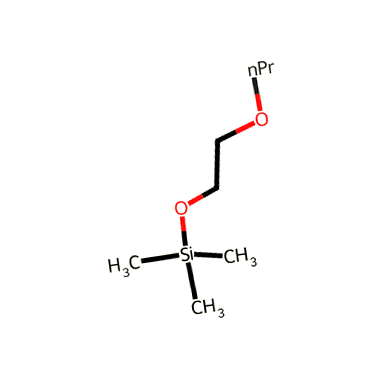 CCCOCCO[Si](C)(C)C